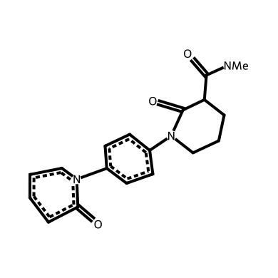 CNC(=O)C1CCCN(c2ccc(-n3ccccc3=O)cc2)C1=O